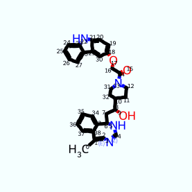 C/C1=C\N=C/NC(CC(O)C2CCN(C(=O)COc3ccc4[nH]c5ccccc5c4c3)CC2)c2ccccc21